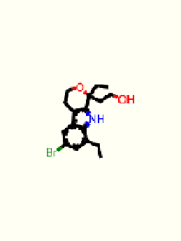 CCc1cc(Br)cc2c3c([nH]c12)C(CC)(CCO)OCC3